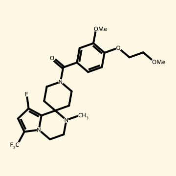 COCCOc1ccc(C(=O)N2CCC3(CC2)c2c(F)cc(C(F)(F)F)n2CCN3C)cc1OC